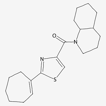 O=C(c1csc(C2=CCCCCC2)n1)N1CCCC2CCCCC21